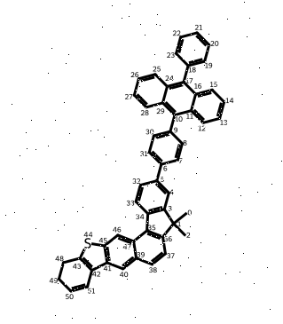 CC1(C)c2cc(-c3ccc(-c4c5ccccc5c(-c5ccccc5)c5ccccc45)cc3)ccc2-c2c1ccc1cc3c4c(sc3cc21)CCC=C4